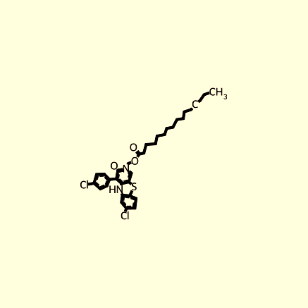 CCCCCCCCCCCCCCCC(=O)OCn1cc2c(c(-c3ccc(Cl)cc3)c1=O)Nc1cc(Cl)ccc1S2